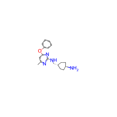 Cc1cc(Oc2ccccc2)nc(NC[C@H]2CC[C@H](N)CC2)n1